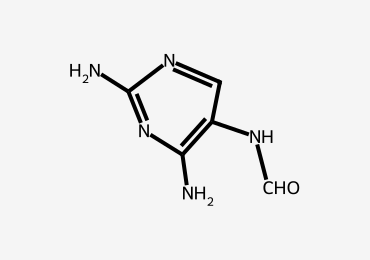 Nc1ncc(NC=O)c(N)n1